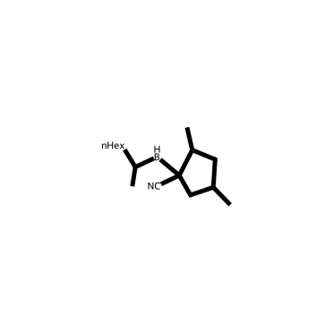 CCCCCCC(C)BC1(C#N)CC(C)CC1C